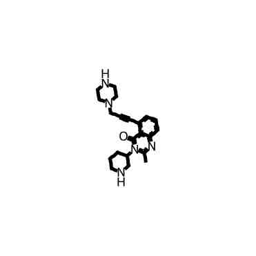 Cc1nc2cccc(C#CCN3CCNCC3)c2c(=O)n1C1CCCNC1